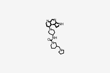 O=C(NC1CCN(c2ccnc3cnc4[nH]ccc4c23)CC1)N1CCCC(CN2CCCC2)C1